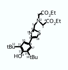 CCOC(=O)CN(CC(=O)OCC)Cc1nc(-c2cc(C(C)(C)C)c(O)c(C(C)(C)C)c2)cs1